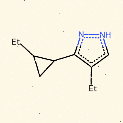 CCc1c[nH]nc1C1CC1CC